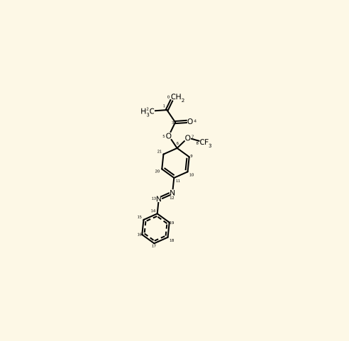 C=C(C)C(=O)OC1(OC(F)(F)F)C=CC(N=Nc2ccccc2)=CC1